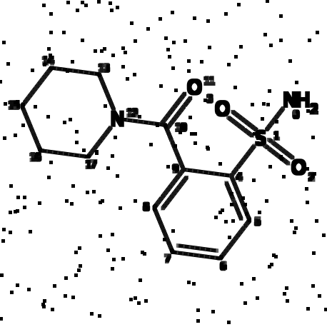 NS(=O)(=O)c1ccccc1C(=O)N1CCCCC1